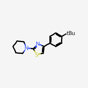 CC(C)(C)c1ccc(-c2csc(N3CCCCC3)n2)cc1